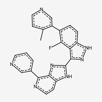 Cc1ccncc1-c1ccc2[nH]nc(-c3nc4c(-c5cccnc5)nccc4[nH]3)c2c1F